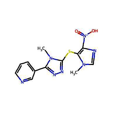 Cn1cnc([N+](=O)O)c1Sc1nnc(-c2cccnc2)n1C